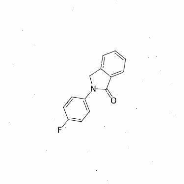 O=C1c2ccccc2CN1c1ccc(F)cc1